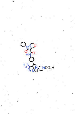 CC(C)(C)C1(n2cc(-c3ccc(NC(=O)c4c5n(n(-c6ccccc6)c4=O)CCOC5)cc3)c3c(N)ncnc32)CCN(C(=O)O)CC1